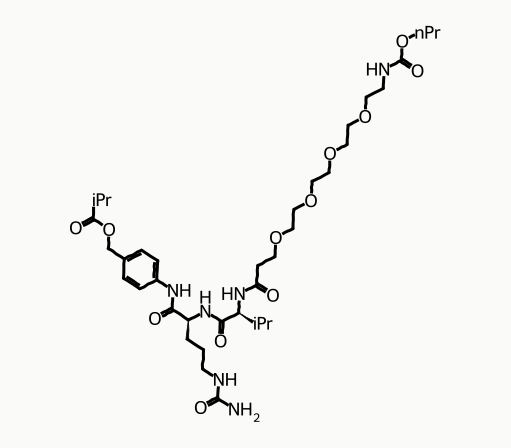 CCCOC(=O)NCCOCCOCCOCCOCCC(=O)N[C@H](C(=O)N[C@@H](CCCNC(N)=O)C(=O)Nc1ccc(COC(=O)C(C)C)cc1)C(C)C